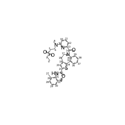 CCS(=O)(=O)CCN(C)c1cccc(C(=O)N2CCc3cc(C(=O)Nc4c(C)cccc4F)sc3-c3ccccc32)n1